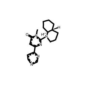 Cn1c(N2CCC[C@H]3CCCC[C@@H]32)nc(-c2ccncn2)cc1=O